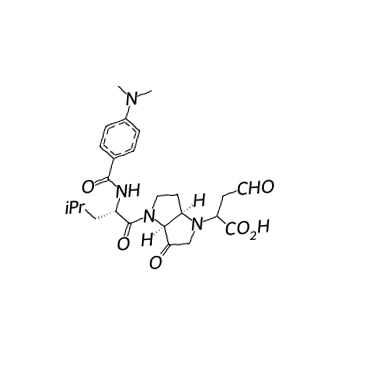 CC(C)C[C@H](NC(=O)c1ccc(N(C)C)cc1)C(=O)N1CC[C@@H]2[C@H]1C(=O)CN2C(CC=O)C(=O)O